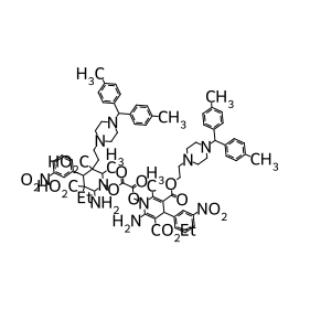 CCOC(=O)C1=C(N)N(OC(=O)C(=O)ON2C(C)C(CCN3CCN(C(c4ccc(C)cc4)c4ccc(C)cc4)CC3)(C(=O)O)C(c3cccc([N+](=O)[O-])c3)C(CC)(C(=O)O)C2N)C(C)=C(C(=O)OCCN2CCN(C(c3ccc(C)cc3)c3ccc(C)cc3)CC2)C1c1cccc([N+](=O)[O-])c1